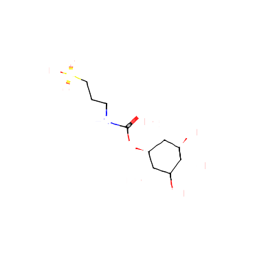 O=C(NCCCS(=O)(=O)O)O[C@H]1[C@H](O)[C@@H](O)[C@H](O)C(O)[C@@H]1O